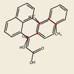 Cc1ccccc1C(=CC(=O)O)c1cccc2cccc(/C(=C/C(=O)O)c3ccccc3C)c12